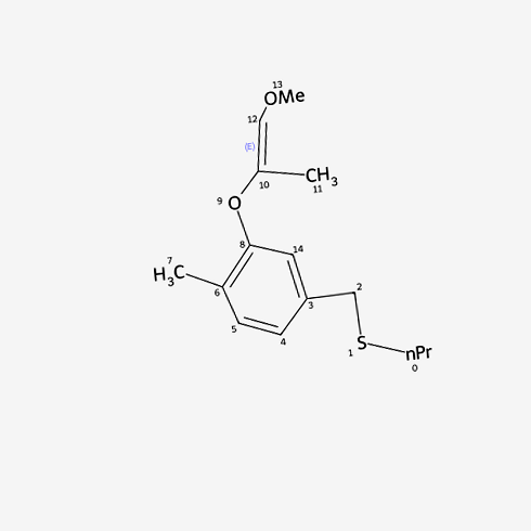 CCCSCc1ccc(C)c(O/C(C)=C/OC)c1